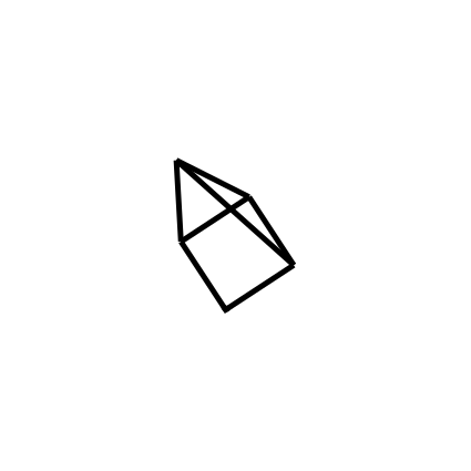 C1C2C3C1C23